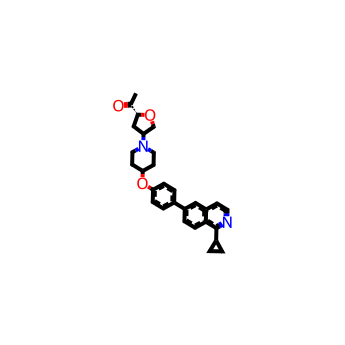 CC(=O)[C@H]1CC(N2CCC(Oc3ccc(-c4ccc5c(C6CC6)nccc5c4)cc3)CC2)CO1